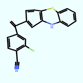 C=C(c1ccc(C#N)c(F)c1)c1ccc2c(c1)Nc1ccccc1S2